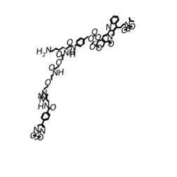 CC[C@@]1(OC(=O)OCc2ccc(NC(=O)[C@H](CCCCN)NC(=O)COCC(=O)NCCOCCn3cc(CNC(=O)c4ccc(-c5cnc(S(C)(=O)=O)nc5)cc4)nn3)cc2)C(=O)OCc2c1cc1n(c2=O)Cc2c-1nc1ccccc1c2CCN(C(C)C)S(C)(=O)=O